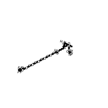 CCCN(CCCNC(=O)c1cncnc1)C(=O)C1=Cc2sc(CCCCCNC(=O)CCOCCOCCOCCOCCOCCOCCOCCOCCOCCOCCC(=O)Oc3c(F)c(F)cc(F)c3F)cc2N=C(N)C1